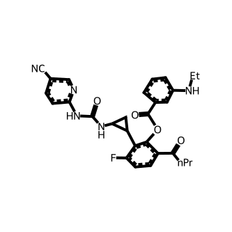 CCCC(=O)c1ccc(F)c(C2CC2NC(=O)Nc2ccc(C#N)cn2)c1OC(=O)c1cccc(NCC)c1